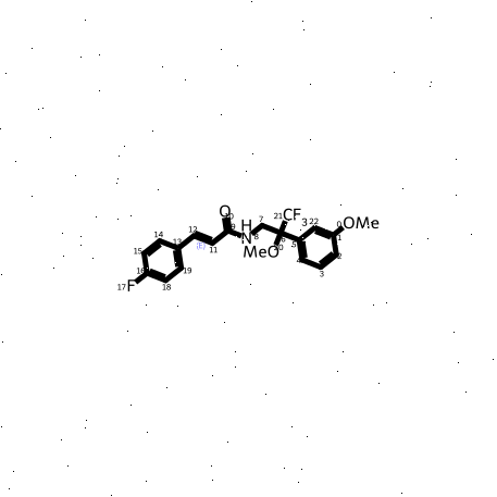 COc1cccc(C(CNC(=O)/C=C/c2ccc(F)cc2)(OC)C(F)(F)F)c1